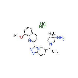 CC(C)Oc1cccc2ccc(-c3nnc4ccc([C@H](N5CCC(C)(N)C5)C(F)(F)F)cn34)nc12.Cl.Cl